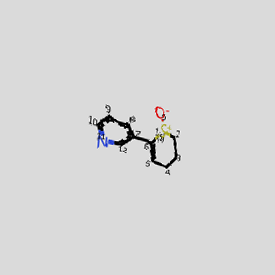 [O-][S@+]1CCCC=C1c1cccnc1